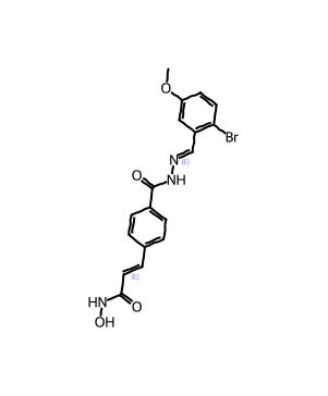 COc1ccc(Br)c(/C=N/NC(=O)c2ccc(/C=C/C(=O)NO)cc2)c1